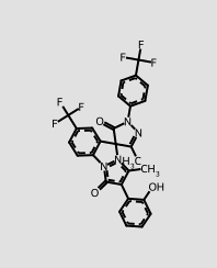 CC1=NN(c2ccc(C(F)(F)F)cc2)C(=O)C12c1cc(C(F)(F)F)ccc1-n1c(=O)c(-c3ccccc3O)c(C)n12